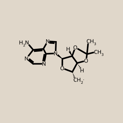 [CH2][C@@H]1O[C@@H](n2cnc3c(N)ncnc32)[C@@H]2OC(C)(C)O[C@H]21